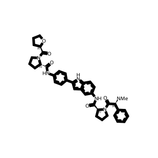 CN[C@@H](C(=O)N1CCC[C@H]1C(=O)Nc1ccc2[nH]c(-c3ccc(NC(=O)[C@@H]4CCCN4C(=O)[C@H]4CCCO4)cc3)cc2c1)c1ccccc1